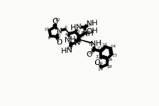 N=C1NC2[C@H](CN3C(=O)CCC3=O)NC(=N)N3C[C@H](NC(=O)c4cccc5c4OCC5)C(O)C23N1